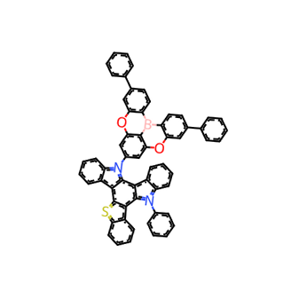 c1ccc(-c2ccc3c(c2)Oc2cc(-n4c5ccccc5c5c6sc7ccccc7c6c6c(c7ccccc7n6-c6ccccc6)c54)cc4c2B3c2ccc(-c3ccccc3)cc2O4)cc1